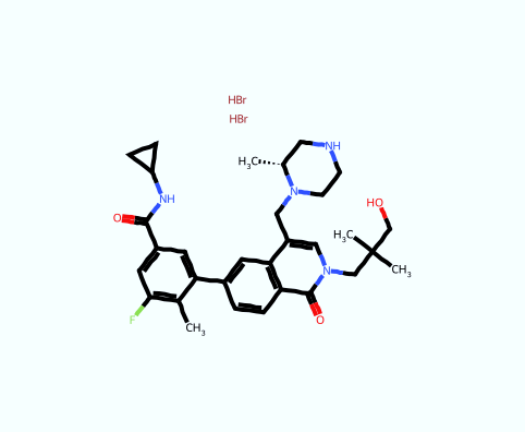 Br.Br.Cc1c(F)cc(C(=O)NC2CC2)cc1-c1ccc2c(=O)n(CC(C)(C)CO)cc(CN3CCNC[C@H]3C)c2c1